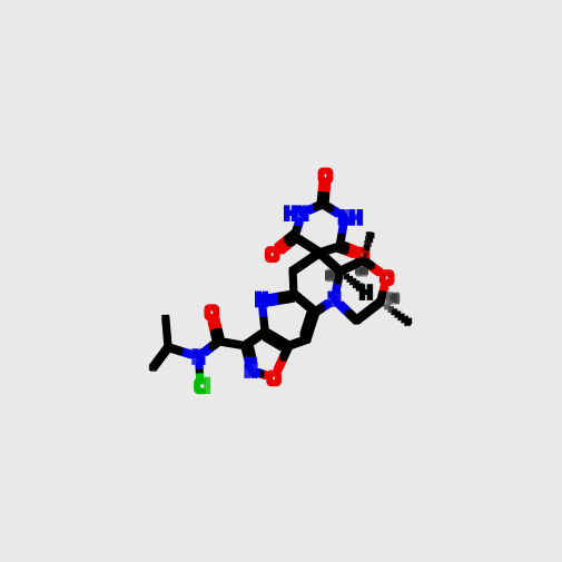 CC(C)N(Cl)C(=O)c1noc2cc3c(nc12)CC1(C(=O)NC(=O)NC1=O)[C@H]1[C@H](C)O[C@H](C)CN31